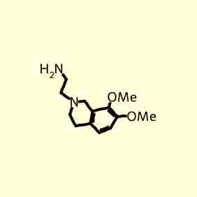 COc1ccc2c(c1OC)CN(CCN)CC2